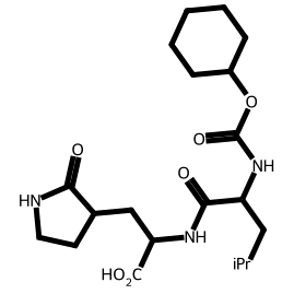 CC(C)CC(NC(=O)OC1CCCCC1)C(=O)NC(CC1CCNC1=O)C(=O)O